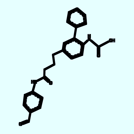 O=Cc1ccc(NC(=O)CCCc2ccc(NC(=O)O)c(-c3ccccc3)c2)cc1